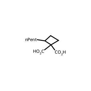 CCCCCC1CCC1(C(=O)O)C(=O)O